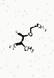 C=C(C)C(=S)OCC